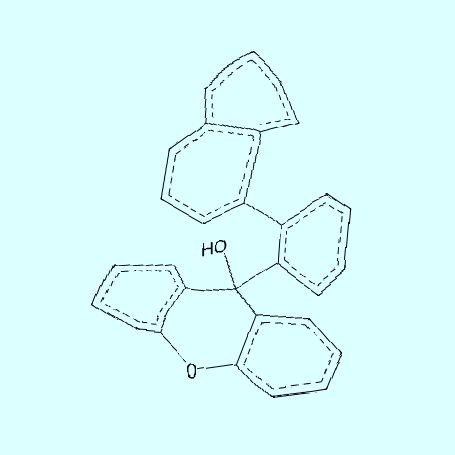 OC1(c2ccccc2-c2cccc3ccccc23)c2ccccc2Oc2ccccc21